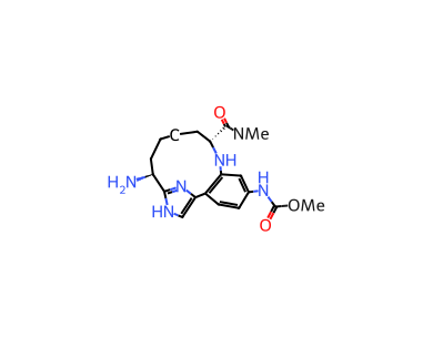 CNC(=O)[C@H]1CCCC[C@H](N)c2nc(c[nH]2)-c2ccc(NC(=O)OC)cc2N1